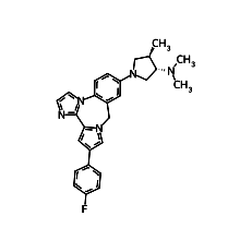 C[C@@H]1CN(c2ccc3c(c2)Cn2cc(-c4ccc(F)cc4)cc2-c2nccn2-3)C[C@H]1N(C)C